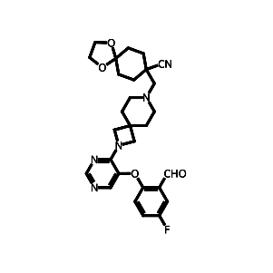 N#CC1(CN2CCC3(CC2)CN(c2ncncc2Oc2ccc(F)cc2C=O)C3)CCC2(CC1)OCCO2